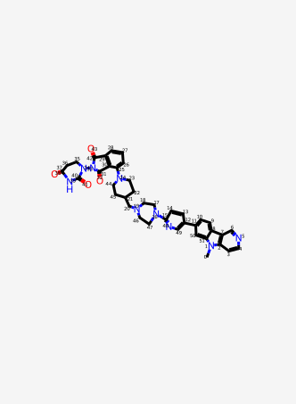 Cn1c2ccncc2c2ccc(-c3ccc(N4CCN(CC5CCN(c6cccc7c6C(=O)N(N6CCC(=O)NC6=O)C7=O)CC5)CC4)nc3)cc21